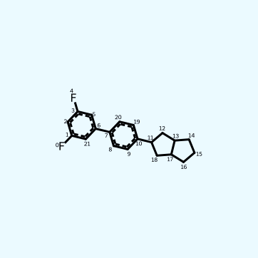 Fc1cc(F)cc(-c2ccc(C3CC4CCCC4C3)cc2)c1